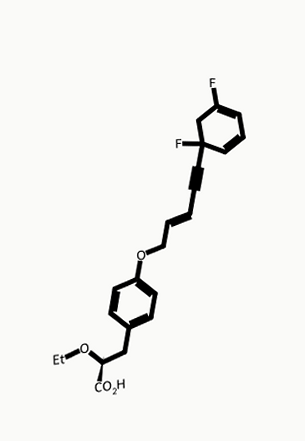 CCO[C@@H](Cc1ccc(OCC=CC#CC2(F)C=CC=C(F)C2)cc1)C(=O)O